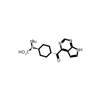 CC(C)(C)N(C(=O)O)[C@H]1CC[C@H](C(=O)c2ncnc3[nH]ccc23)CC1